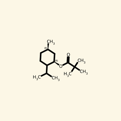 CC(C)C1CC[C@@H](C)C[C@H]1OC(=O)C(C)(C)C